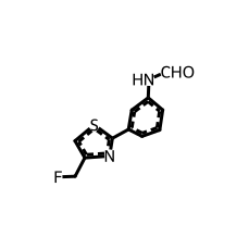 O=CNc1cccc(-c2nc(CF)cs2)c1